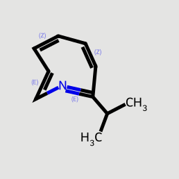 CC(C)C1=N\C=C\C=C/C=C\1